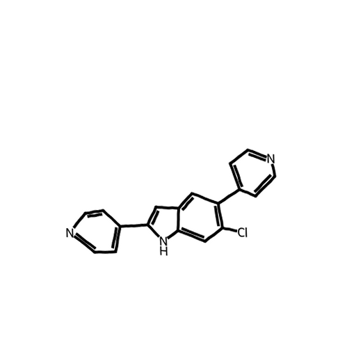 Clc1cc2[nH]c(-c3ccncc3)cc2cc1-c1ccncc1